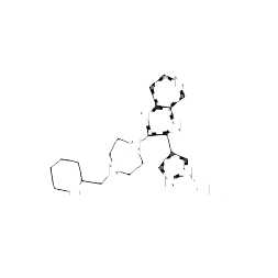 Cn1cc(-c2nc3cnccc3nc2N2CCN(CC3CCCCO3)CC2)cn1